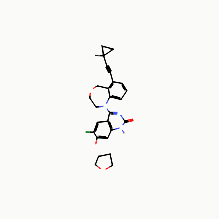 Cn1c(=O)nc(N2CCOCc3c(C#CC4(C(F)(F)F)CC4)cccc32)c2cc(Cl)c(O[C@@H]3CCOC3)cc21